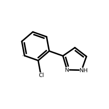 Clc1[c]cccc1-c1cc[nH]n1